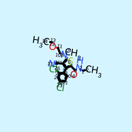 CCNC(=O)c1sc(N(C)CCOCC)c(C#N)c1-c1ccc(Cl)cc1Cl